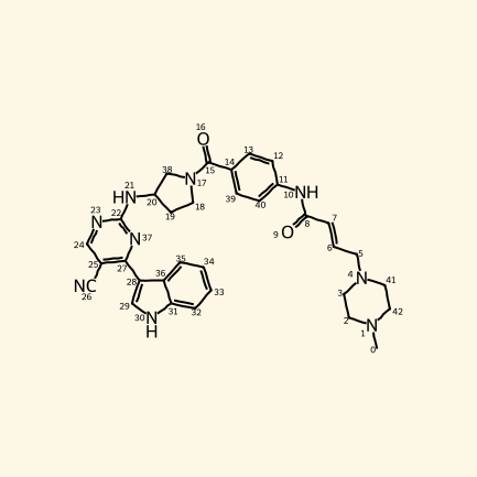 CN1CCN(CC=CC(=O)Nc2ccc(C(=O)N3CCC(Nc4ncc(C#N)c(-c5c[nH]c6ccccc56)n4)C3)cc2)CC1